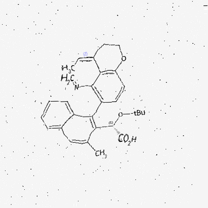 C=Nc1c(-c2c([C@H](OC(C)(C)C)C(=O)O)c(C)cc3ccccc23)ccc2c1/C(=C\C)CCO2